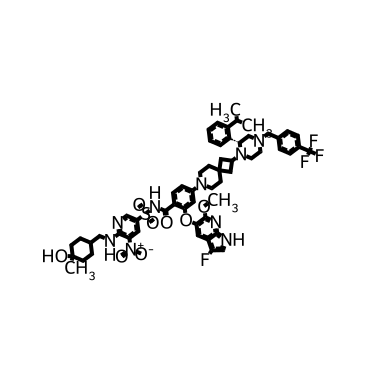 COc1nc2[nH]cc(F)c2cc1Oc1cc(N2CCC3(CC2)CC(N2CCN(Cc4ccc(C(F)(F)F)cc4)C[C@H]2c2ccccc2C(C)C)C3)ccc1C(=O)NS(=O)(=O)c1cnc(NCC2CCC(C)(O)CC2)c([N+](=O)[O-])c1